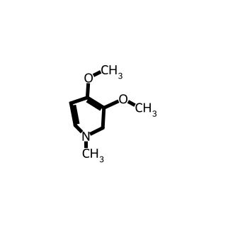 COC1=C(OC)CN(C)C=C1